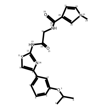 CC(C)Oc1cccc(-c2csc(NC(=O)CNC(=O)c3ccn(C)c3)n2)c1